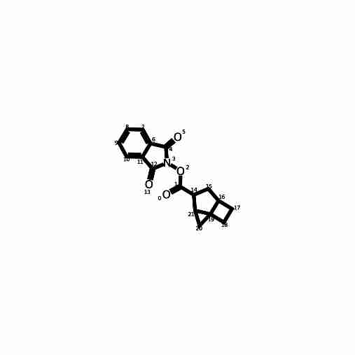 O=C(ON1C(=O)c2ccccc2C1=O)C1CC2CCC23CC13